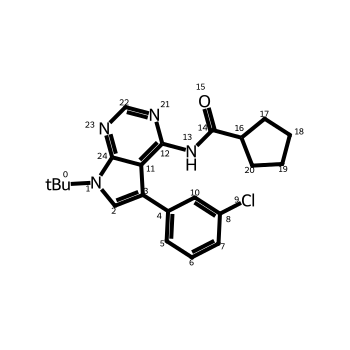 CC(C)(C)n1cc(-c2cccc(Cl)c2)c2c(NC(=O)C3CCCC3)ncnc21